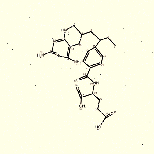 CCC(CC1CNc2nc(N)nc(N)c2C1)c1ccc(C(=O)N[C@@H](CCC(=O)O)C(=O)O)cc1